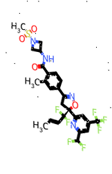 C/C=C/C(F)(F)[C@@]1(c2cc(C(F)(F)F)cc(C(F)F)n2)CC(c2ccc(C(=O)NC3CN(S(C)(=O)=O)C3)c(C)c2)=NO1